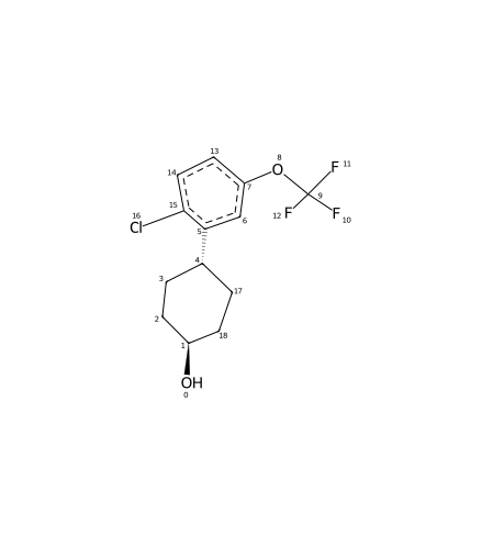 O[C@H]1CC[C@H](c2cc(OC(F)(F)F)ccc2Cl)CC1